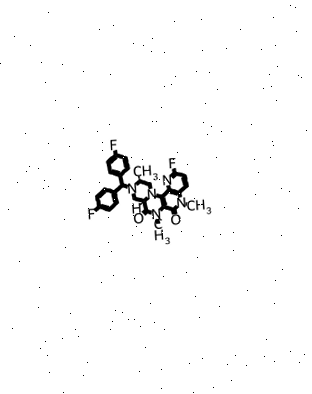 C[C@@H]1CN2c3c(c(=O)n(C)c4ccc(F)nc34)N(C)C(=O)[C@H]2CN1C(c1ccc(F)cc1)c1ccc(F)cc1